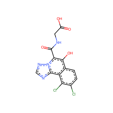 O=C(O)CNC(=O)c1c(O)c2ccc(Cl)c(Cl)c2c2ncnn12